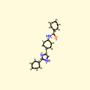 O=C(Nc1ccc(-c2c[nH]c(-c3ccccc3)n2)cc1)c1ccccc1